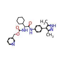 Cc1n[nH]c(C)c1-c1ccc(NC(=O)[C@@H](NC(=O)OCc2cccnc2)C2CCCCC2)cc1